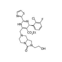 CCOC(=O)C1=C(CN2CCN3C(=O)N(CCO)CC3C2)NC(c2nccs2)=N[C@H]1c1cccc(F)c1Cl